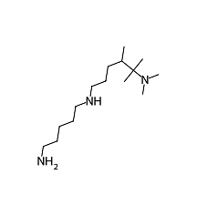 CC(CCCNCCCCCN)C(C)(C)N(C)C